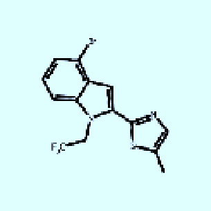 Cc1cnc(-c2cc3c(Br)cccc3n2CC(F)(F)F)s1